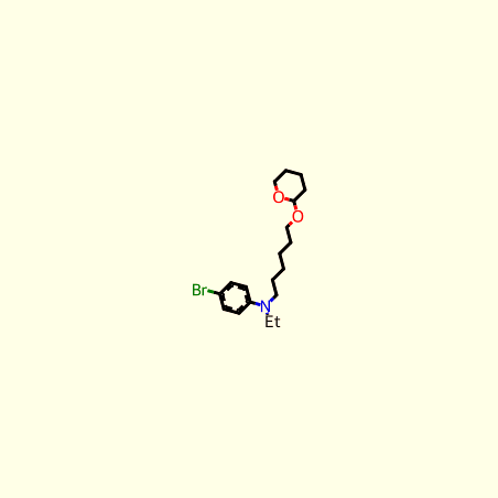 CCN(CCCCCCOC1CCCCO1)c1ccc(Br)cc1